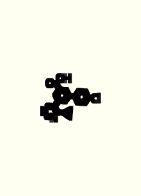 O=C(O)c1cc(-c2ccc(Cl)cc2)cc(-c2cncnc2C2CC2)c1